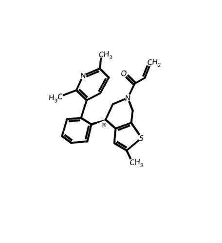 C=CC(=O)N1Cc2sc(C)cc2[C@@H](c2ccccc2-c2ccc(C)nc2C)C1